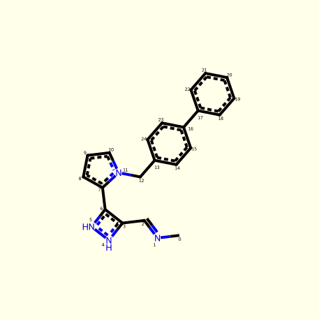 C/N=C/c1[nH][nH]c1-c1cccn1Cc1ccc(-c2ccccc2)cc1